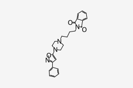 O=C1c2ccccc2C(=O)N1CCCCN1CCN(c2cc(-c3ccccc3)no2)CC1